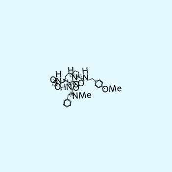 CN[C@H](Cc1ccccc1)C(=O)N[C@@H]1C(=O)N2[C@@H](CC[C@@H]1CNS(C)(=O)=O)CC[C@H]2C(=O)NCCc1ccc(OC)cc1